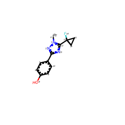 CC(C)n1nc(-c2ccc(O)cc2)nc1C1(F)CC1